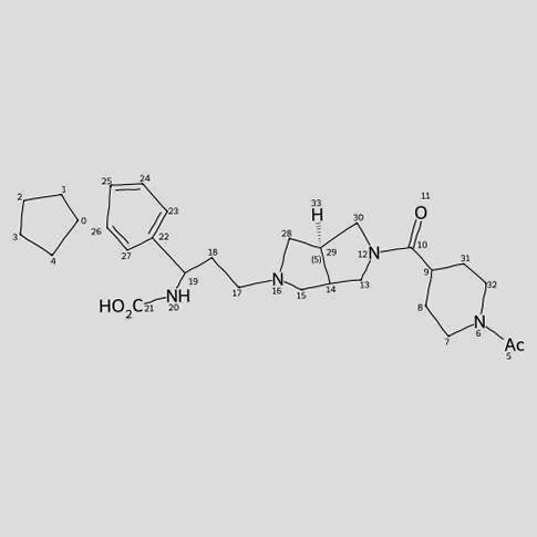 C1CCCC1.CC(=O)N1CCC(C(=O)N2CC3CN(CCC(NC(=O)O)c4ccccc4)C[C@H]3C2)CC1